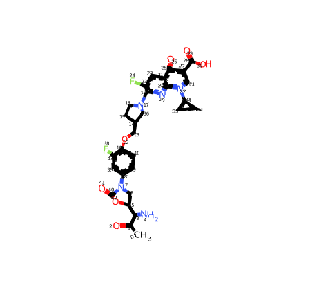 CC(=O)C(N)C1CN(c2ccc(OCC3CCN(c4nc5c(cc4F)c(=O)c(C(=O)O)cn5C4CC4)C3)c(F)c2)C(=O)O1